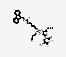 Cc1cn([C@H]2C[C@@H](OP(=O)(OCCC#N)OCCCCNC(=O)OCC3c4ccccc4-c4ccccc43)[C@@H](CO)O2)c(=O)[nH]c1=O